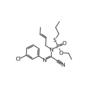 CC=CCN(C(C#N)=Nc1cccc(Cl)c1)P(=O)(OCC)SCCC